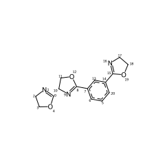 C1=NCCO1.c1cc(C2=NCCO2)cc(C2=NCCO2)c1